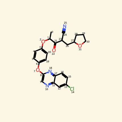 CC(Oc1ccc(Oc2cnc3cc(Cl)ccc3n2)cc1)C(=O)C(C#N)CC1CCCO1